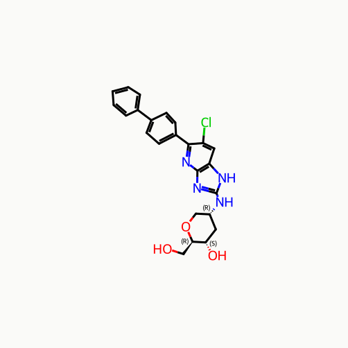 OC[C@H]1OC[C@H](Nc2nc3nc(-c4ccc(-c5ccccc5)cc4)c(Cl)cc3[nH]2)C[C@@H]1O